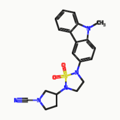 Cn1c2ccccc2c2cc(N3CCN(C4CCN(C#N)C4)S3(=O)=O)ccc21